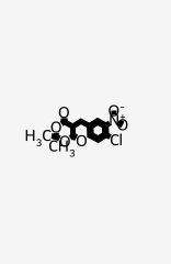 CC1(C)OC(=O)C(Cc2ccc(Cl)c([N+](=O)[O-])c2)C(=O)O1